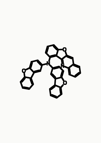 c1ccc2nc3c(cc2c1)oc1cccc(N(c2ccc4oc5ccccc5c4c2)c2ccc4oc5ccccc5c4c2)c13